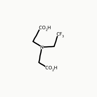 O=C(O)CN(CC(=O)O)CC(F)(F)F